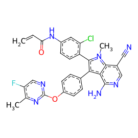 C=CC(=O)Nc1ccc(-c2c(-c3ccc(Oc4ncc(F)c(C)n4)cc3)c3c(N)ncc(C#N)c3n2C)c(Cl)c1